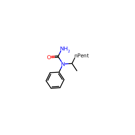 [CH2]CCCCC(C)N(C(N)=O)c1ccccc1